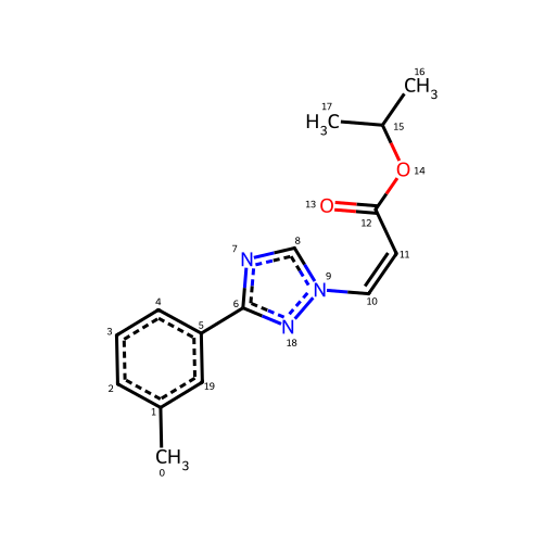 Cc1cccc(-c2ncn(/C=C\C(=O)OC(C)C)n2)c1